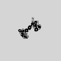 COC(=O)N[C@H](C(=O)N[C@H](C(=O)Nc1ccc(-c2ccc(-c3c[nH]c([C@@H]4CCCN4C(=O)[C@H](NC4OCO4)c4ccccc4)n3)cc2)cc1)C1CCCCC1)C(C)C